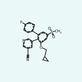 CS(=O)(=O)c1cc(OCC2CC2)c(-c2cncc(C#N)c2)c(-c2ccc(F)cc2)c1